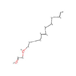 CCCCCCCCCCOCC=O